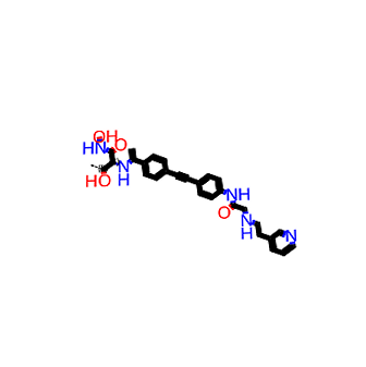 C=C(N[C@H](C(=O)NO)[C@@H](C)O)c1ccc(C#Cc2ccc(NC(=O)CNCCc3cccnc3)cc2)cc1